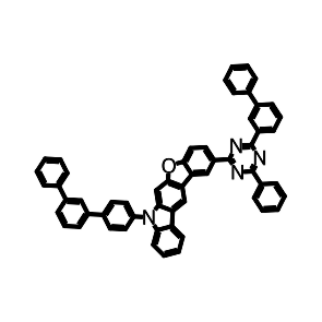 c1ccc(-c2cccc(-c3ccc(-n4c5ccccc5c5cc6c(cc54)oc4ccc(-c5nc(-c7ccccc7)nc(-c7cccc(-c8ccccc8)c7)n5)cc46)cc3)c2)cc1